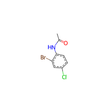 CC(=O)Nc1ccc(Cl)cc1Br